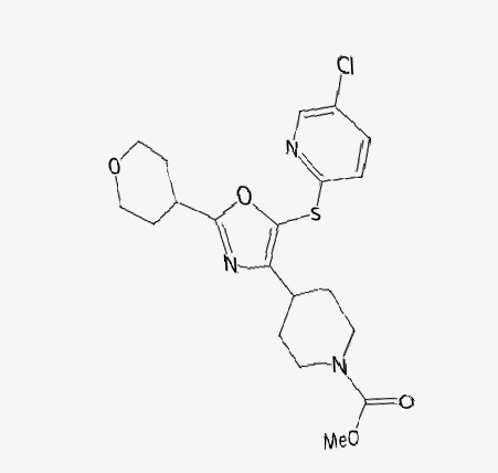 COC(=O)N1CCC(c2nc(C3CCOCC3)oc2Sc2ccc(Cl)cn2)CC1